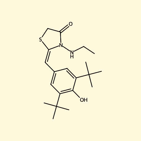 CCNN1C(=O)CSC1=Cc1cc(C(C)(C)C)c(O)c(C(C)(C)C)c1